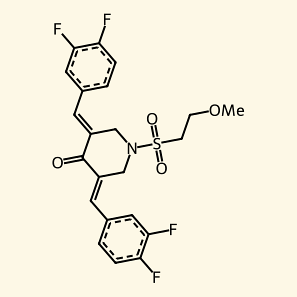 COCCS(=O)(=O)N1C/C(=C\c2ccc(F)c(F)c2)C(=O)/C(=C/c2ccc(F)c(F)c2)C1